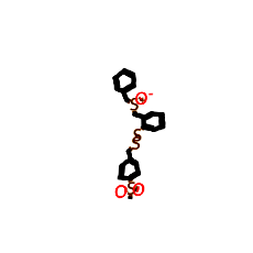 CS(=O)(=O)c1ccc(CSSc2ccccc2C[S+]([O-])Cc2ccccc2)cc1